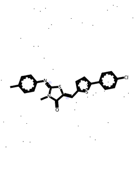 Cc1ccc(/N=C2/S/C(=C\c3ccc(-c4ccc(Cl)cc4)s3)C(=O)N2C)cc1